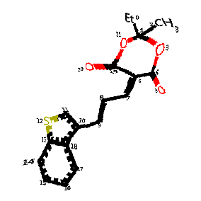 CCC1(C)OC(=O)C(=CC=Cc2csc3ccccc23)C(=O)O1